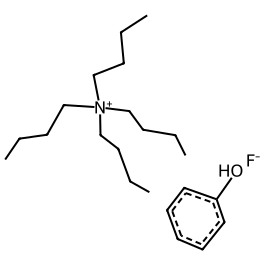 CCCC[N+](CCCC)(CCCC)CCCC.Oc1ccccc1.[F-]